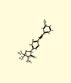 CN1C(=O)N(c2ccc(C#Cc3cccc(Cl)c3)nn2)CC1(C)C